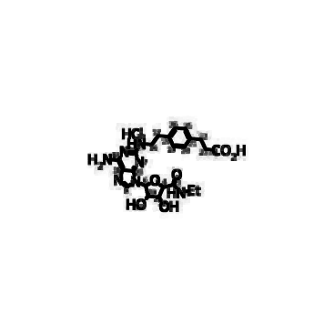 CCNC(=O)C1OC(n2cnc3c(N)nc(NCCc4ccc(CCC(=O)O)cc4)nc32)C(O)C1O.Cl